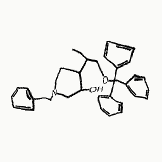 CC(COC(c1ccccc1)(c1ccccc1)c1ccccc1)C1CCN(Cc2ccccc2)CC1O